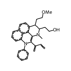 C=CC(=C)C1=C2c3c(ccc4cccc(c34)N1c1ccccc1)C(CCOC)C(CCO)N2C